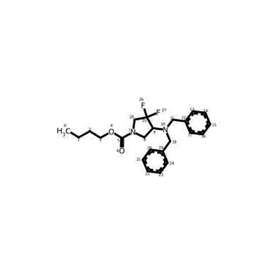 CCCCOC(=O)N1CC(N(Cc2ccccc2)Cc2ccccc2)C(F)(F)C1